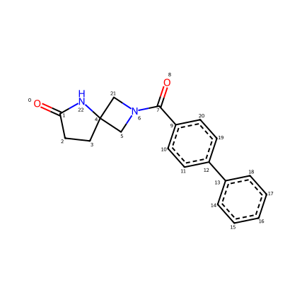 O=C1CCC2(CN(C(=O)c3ccc(-c4ccccc4)cc3)C2)N1